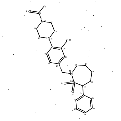 CC(=O)N1CCN(c2ccc(CN3CCCCC(c4ccccc4)S3(=O)=O)cc2F)CC1